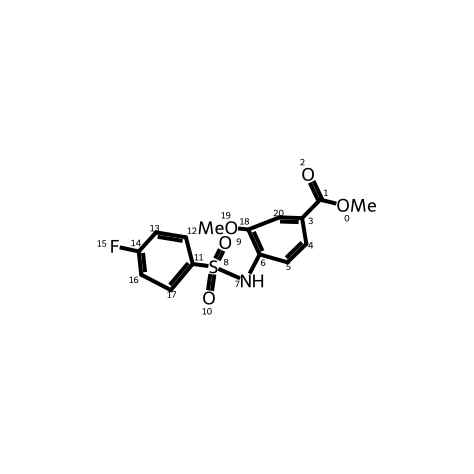 COC(=O)c1ccc(NS(=O)(=O)c2ccc(F)cc2)c(OC)c1